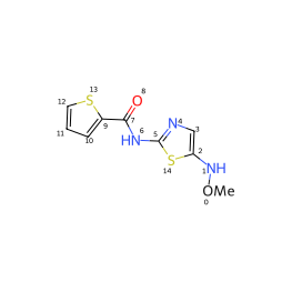 CONc1cnc(NC(=O)c2cccs2)s1